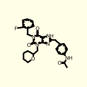 CC(=O)Nc1ccc(Cc2nc3c([nH]2)c(=O)n(Cc2ccccc2F)c(=O)n3CC2CCCCO2)cc1